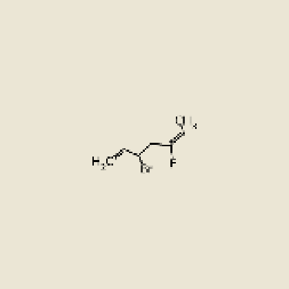 C=CC(Br)C/C(F)=C\C